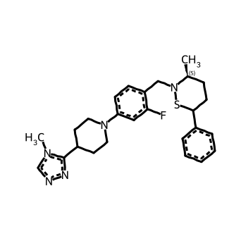 C[C@H]1CCC(c2ccccc2)SN1Cc1ccc(N2CCC(c3nncn3C)CC2)cc1F